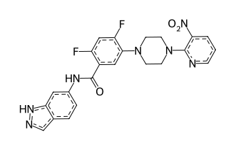 O=C(Nc1ccc2cn[nH]c2c1)c1cc(N2CCN(c3ncccc3[N+](=O)[O-])CC2)c(F)cc1F